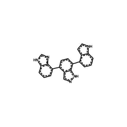 c1cc(-c2ccc(-c3cccc4[nH]cnc34)c3cn[nH]c23)c2cc[nH]c2c1